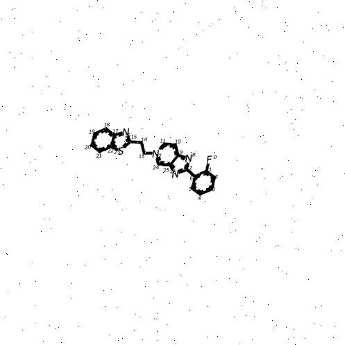 Fc1ccccc1-c1nc2ccn(CCc3nc4ccccc4s3)cc-2n1